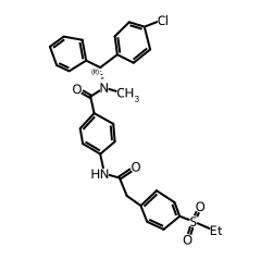 CCS(=O)(=O)c1ccc(CC(=O)Nc2ccc(C(=O)N(C)[C@H](c3ccccc3)c3ccc(Cl)cc3)cc2)cc1